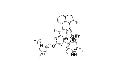 CC(C)[Si](C#Cc1c(F)ccc2cccc(-c3ncc4c(N(C)[C@@H]5CCN[C@@H]5C)nc(OC[C@@H]5C[C@@H](F)CN5C)nc4c3F)c12)(C(C)C)C(C)C